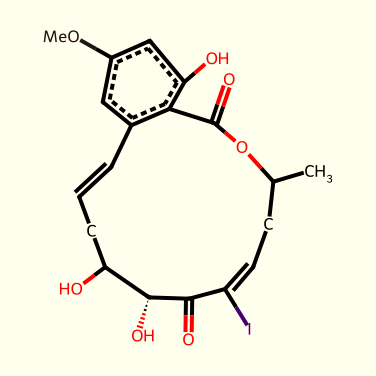 COc1cc(O)c2c(c1)/C=C/CC(O)[C@@H](O)C(=O)/C(I)=C\CC(C)OC2=O